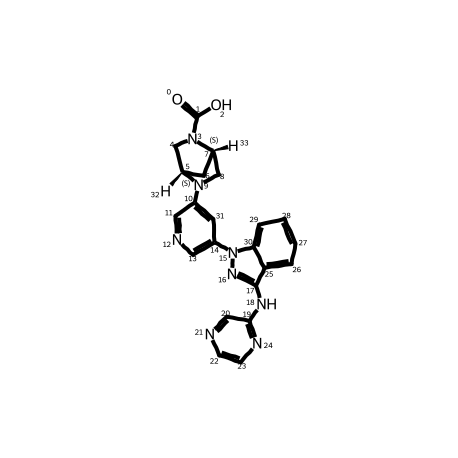 O=C(O)N1C[C@@H]2C[C@H]1CN2c1cncc(-n2nc(Nc3cnccn3)c3ccccc32)c1